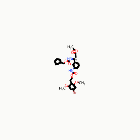 COc1cc(Br)cc(OC)c1CCOC(=O)Nc1cccc([C@@H](CC2OC(C)O2)NC(=O)OCc2ccccc2)c1